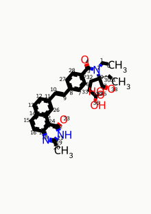 CCN(C(=O)c1ccc(C=Cc2ccc3ccc4nc(C)[nH]c(=O)c4c3c2)cc1)[C@](CC)(CCC(=O)O)C(=O)O